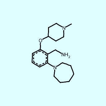 CN1CCC(Oc2cccc(N3CCCCCC3)c2CN)CC1